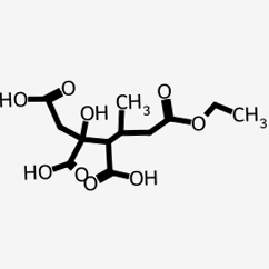 CCOC(=O)CC(C)C(C(=O)O)C(O)(CC(=O)O)C(=O)O